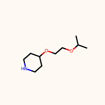 CC(C)OCCOC1CCNCC1